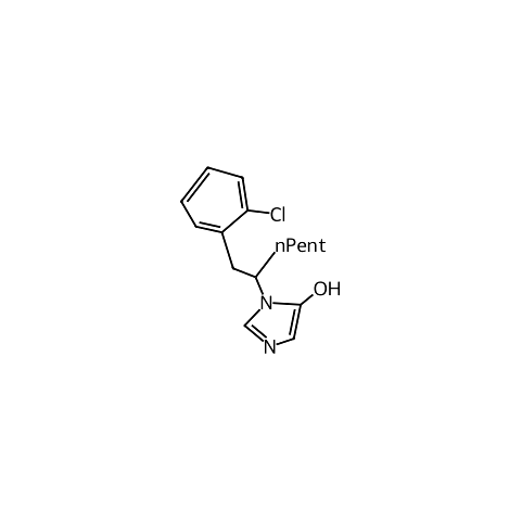 CCCCCC(Cc1ccccc1Cl)n1cncc1O